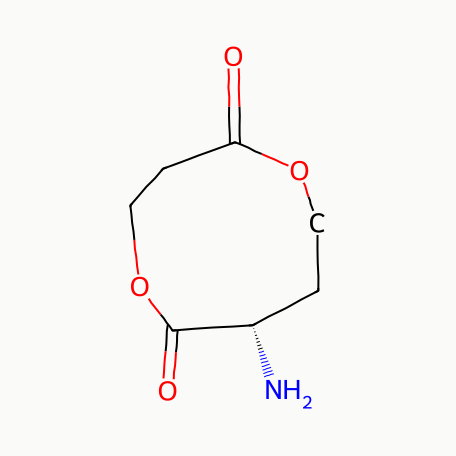 N[C@H]1CCOC(=O)CCOC1=O